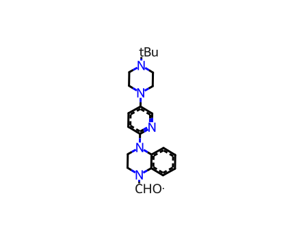 CC(C)(C)N1CCN(c2ccc(N3CCN([C]=O)c4ccccc43)nc2)CC1